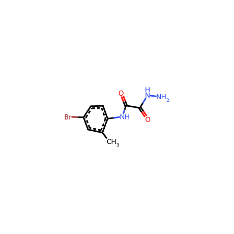 Cc1cc(Br)ccc1NC(=O)C(=O)NN